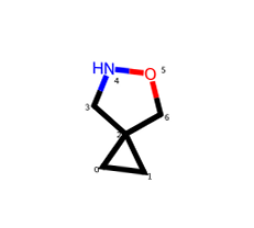 C1CC12CNOC2